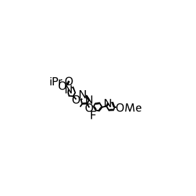 COc1ccc(-c2ccc(Oc3ncnc(OC4CCN(C(=O)OC(C)C)CC4)c3C)c(F)c2)nc1